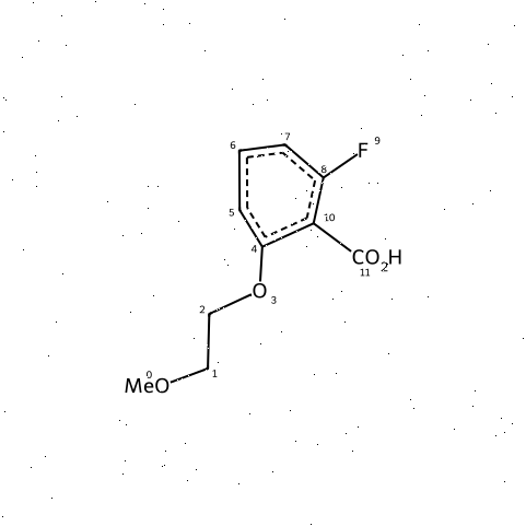 COCCOc1cccc(F)c1C(=O)O